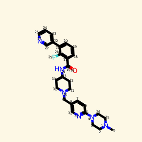 CN1CCN(c2ccc(CN3CCC(NC(=O)c4cccc(-c5cccnc5)c4F)CC3)cn2)CC1